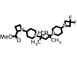 COC(=O)C1CCN1C1CCN(C(C)(C)CC(C)(C)N2CCC(N3CC(F)(F)C3)CC2)CC1